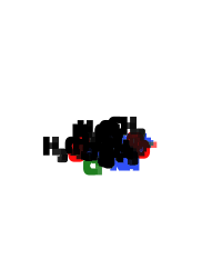 CN1C(C)(C)CC(Nc2nc(Nc3ccc(N4CCN(S(C)(=O)=O)CC4)c(Cl)c3)ncc2[N+](=O)[O-])CC1(C)C